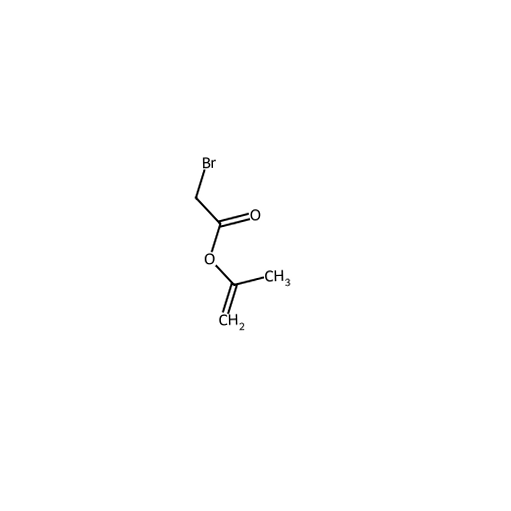 C=C(C)OC(=O)CBr